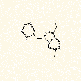 OCc1nn(Cc2ccc(F)cc2Cl)c2cc(OC(F)(F)F)ccc12